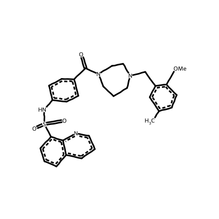 COc1ccc(C)cc1CN1CCCN(C(=O)c2ccc(NS(=O)(=O)c3cccc4cccnc34)cc2)CC1